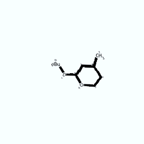 CCCCOC1CC(C)CCO1